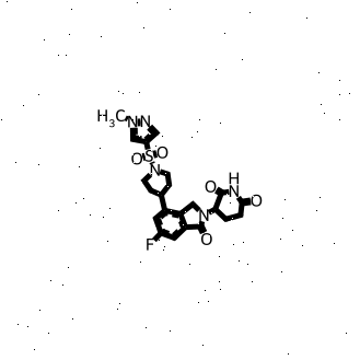 Cn1cc(S(=O)(=O)N2CCC(c3cc(F)cc4c3CN(C3CCC(=O)NC3=O)C4=O)CC2)cn1